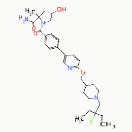 CCC(F)(CC)CN1CCC(COc2ccc(-c3ccc(C(=O)N4CC(O)CC4(C)C(N)=O)cc3)cn2)CC1